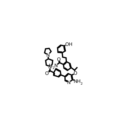 CC(Oc1cc(-c2ccc(C(=O)N3CCC(N4CCCC4)CC3)cc2)cnc1N)c1ccc(C(N)=O)c(CCc2cccc(O)c2)c1